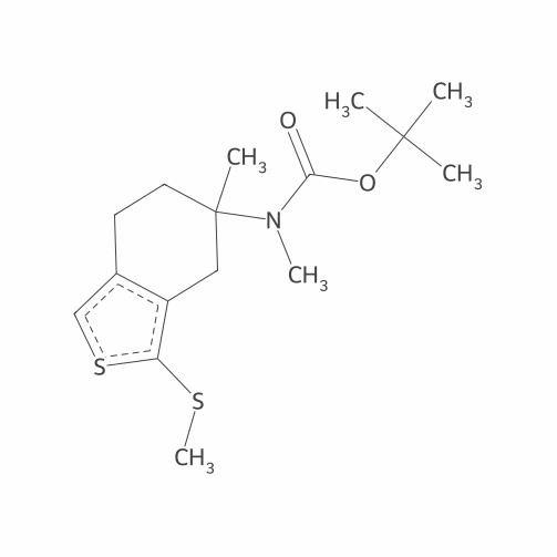 CSc1scc2c1CC(C)(N(C)C(=O)OC(C)(C)C)CC2